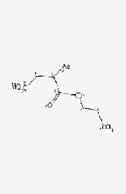 CC(=O)C(CC(=O)O)C(=O)OCCC(Cl)(Cl)Cl